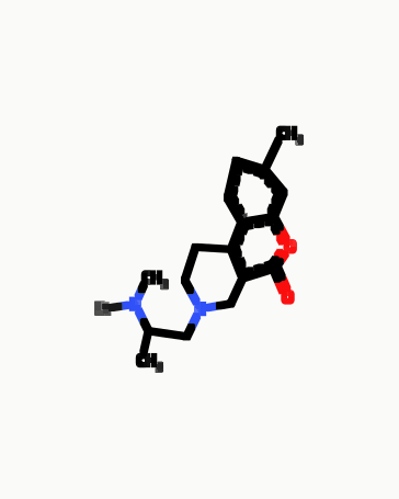 CCN(C)C(C)CN1CCc2c(c(=O)oc3cc(C)ccc23)C1